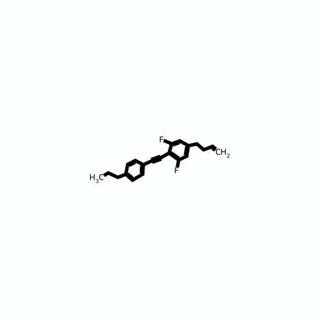 C=CCCc1cc(F)c(C#Cc2ccc(CCC)cc2)c(F)c1